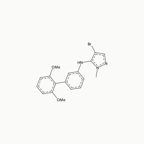 COc1cccc(OC)c1-c1cccc(Nc2c(Br)cnn2C)c1